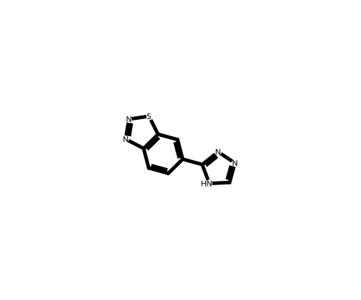 c1nnc(-c2ccc3nnsc3c2)[nH]1